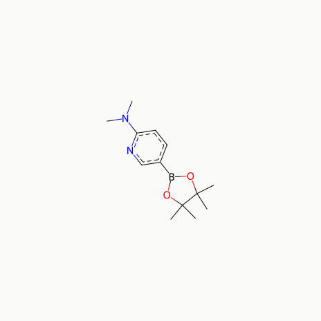 CN(C)c1ccc(B2OC(C)(C)C(C)(C)O2)cn1